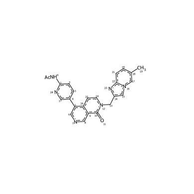 CC(=O)Nc1ccc(-c2cncc3c(=O)n(Cc4cn5cc(C)ccc5n4)ccc23)cn1